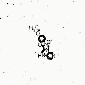 CCOc1ccc([N+]2([O-])CN3C(=CNc4ccncc43)C2=O)cc1